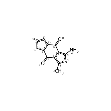 Cc1sc(N)c2c1C(=O)c1cscc1C2=O